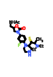 CCN(CC)C(C)C(=S)C1CNCCN1c1ccc(N2CC(CNC(C)=O)OC2=O)cc1F